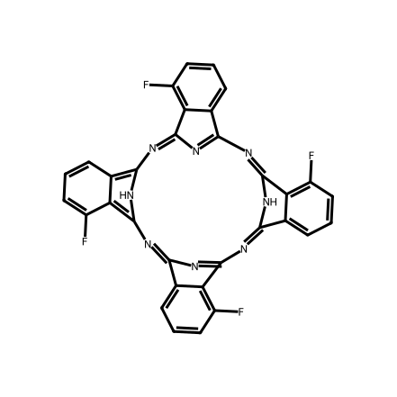 Fc1cccc2c1-c1nc-2nc2[nH]c(nc3nc(nc4[nH]c(n1)c1cccc(F)c41)-c1cccc(F)c1-3)c1cccc(F)c21